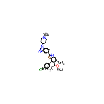 CCCCN1CCC(n2cnc3cc(-c4nc5cc(C)c([C@H](OC(C)(C)C)C(=O)OCC)c(-c6ccc(Cl)cc6)c5s4)ccc32)CC1